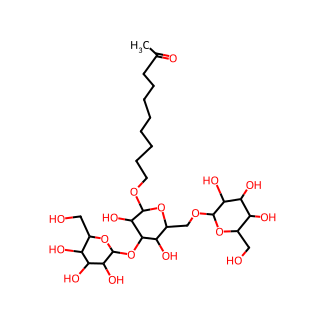 CC(=O)CCCCCCCCOC1OC(COC2OC(CO)C(O)C(O)C2O)C(O)C(OC2OC(CO)C(O)C(O)C2O)C1O